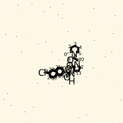 C[C@@H]1CCCCN1C(=O)[C@H](C)N1CC[C@H](NS(=O)(=O)c2ccc3cc(Cl)ccc3c2)C1=O